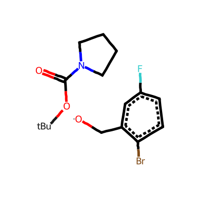 CC(C)(C)OC(=O)N1CCCC1.[O]Cc1cc(F)ccc1Br